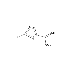 CSC(=N)c1csc(Cl)n1